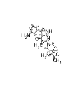 C[C@@H]1OCC2(CCN(c3nc4[nH]nc(-c5ccnc(N)c5)c4c(=O)n3C)CC2)[C@@H]1N